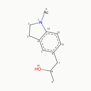 CC(=O)N1CCc2cc(CC(C)O)ccc21